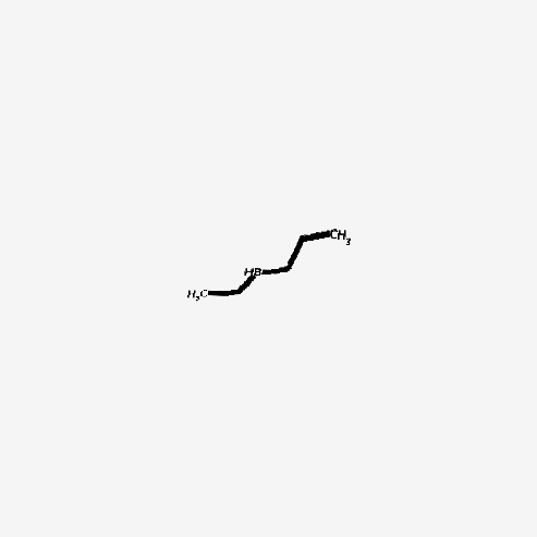 CCBCCC